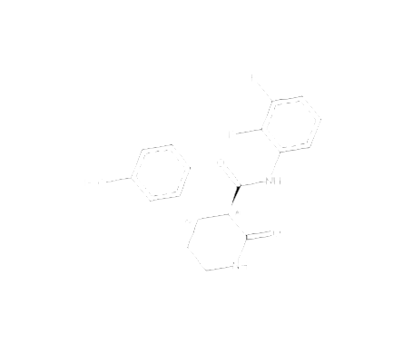 Cc1cccc([C@H]2CCNC(=O)[C@@H]2C(=O)Nc2cccc(F)c2F)c1